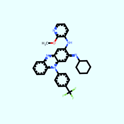 COc1ncccc1Nc1cc2nc3ccccc3n(-c3ccc(C(F)(F)F)cc3)c-2c/c1=N\C1CCCCC1